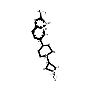 Cc1nc2ccc(C3CCN(C4CN(C)C4)CC3)cn2n1